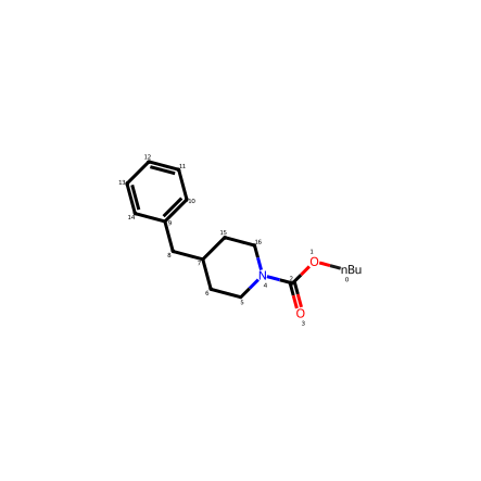 CCCCOC(=O)N1CCC(Cc2ccccc2)CC1